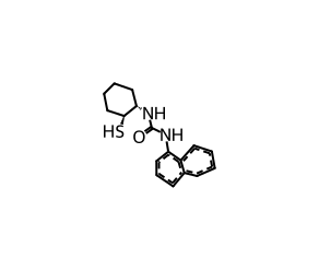 O=C(Nc1cccc2ccccc12)N[C@H]1CCCC[C@@H]1S